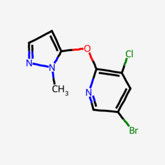 Cn1nccc1Oc1ncc(Br)cc1Cl